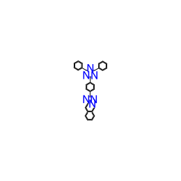 c1ccc(-c2nc(-c3ccccc3)nc(-c3ccc(-c4nc5cc6ccccc6cn5n4)cc3)n2)cc1